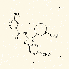 O=Cc1ccc2nc(NC(=O)c3cc([N+](=O)[O-])cs3)n(C3CCCCN(C(=O)O)C3)c2c1